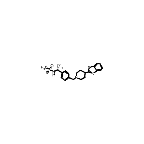 CS(=O)(=O)N[C@@H](c1ccc(CN2CCC(c3nc4ccccc4s3)CC2)cc1)C(F)(F)F